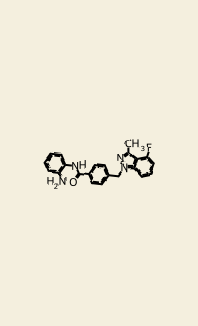 Cc1nn(Cc2ccc(C(=O)Nc3ccccc3N)cc2)c2cccc(F)c12